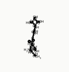 CCC(=O)NCCNC(=O)/N=C(/N)NCCC[C@@H](NC(=O)[C@@H](c1ccccc1)c1cccc(OCCCCNC(=O)NOCCNC(=O)CN2CCN(CC(=O)O)CCN(CC(=O)O)CCN(CC(=O)O)CC2)c1)C(=O)NCc1c(F)cc(O)cc1F